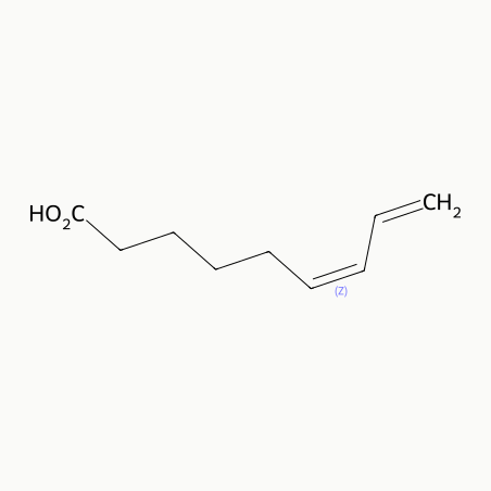 C=C/C=C\CCCCC(=O)O